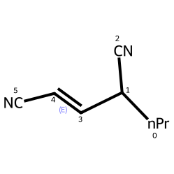 CCCC(C#N)/C=C/C#N